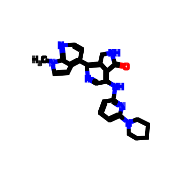 Cn1ccc2c(-c3ncc(Nc4cccc(N5CCCCC5)n4)c4c3CNC4=O)ccnc21